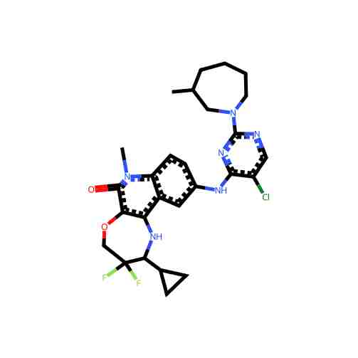 CC1CCCCN(c2ncc(Cl)c(Nc3ccc4c(c3)c3c(c(=O)n4C)OCC(F)(F)C(C4CC4)N3)n2)C1